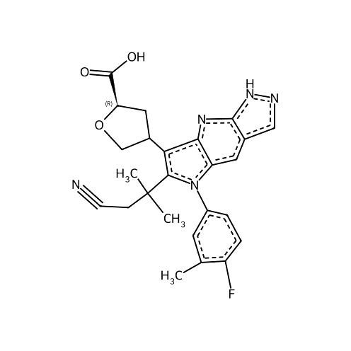 Cc1cc(-n2c(C(C)(C)CC#N)c(C3CO[C@@H](C(=O)O)C3)c3nc4[nH]ncc4cc32)ccc1F